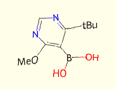 COc1ncnc(C(C)(C)C)c1B(O)O